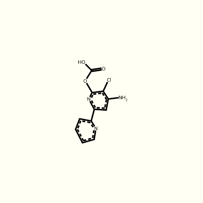 Nc1cc(-c2ccccn2)nc(OC(=O)O)c1Cl